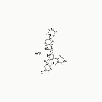 Cl.Clc1ccc(OCc2ccccc2)c(Cc2cccc(-c3nc4cc(N5CCOCC5)ccc4[nH]3)n2)c1